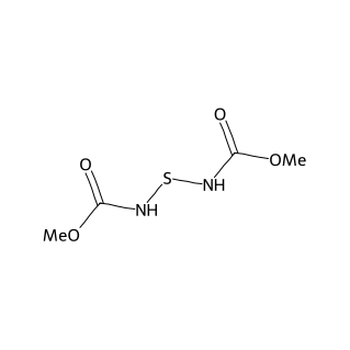 COC(=O)NSNC(=O)OC